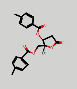 CC[C@]1(COC(=O)c2ccc(C)cc2)OC(=O)C[C@@H]1OC(=O)c1ccc(C)cc1